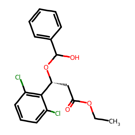 CCOC(=O)C[C@@H](OC(O)c1ccccc1)c1c(Cl)cccc1Cl